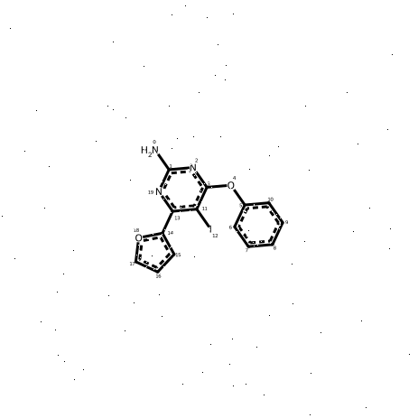 Nc1nc(Oc2ccccc2)c(I)c(-c2ccco2)n1